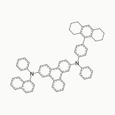 c1ccc(N(c2ccc(-c3c4c(cc5c3CCCC5)CCCC4)cc2)c2ccc3c4ccc(N(c5ccccc5)c5cccc6ccccc56)cc4c4ccccc4c3c2)cc1